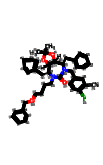 CC1(C)O[C@@H]2[C@@H](O1)[C@@H](Cc1ccccc1)N(Cc1ccc(F)c(C#N)c1)C(=O)N(CCCCOCc1ccccc1)[C@@H]2Cc1ccccc1